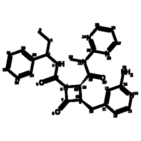 CCC(NC(=O)N1C(=O)[C@H](Cc2ccnc(N)c2)[C@H]1C(=O)N(C)c1ncccn1)c1cccnc1